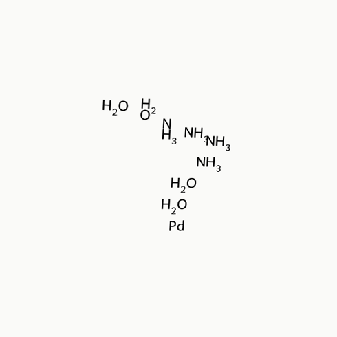 N.N.N.N.O.O.O.O.[Pd]